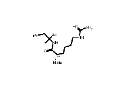 CN[C@@H](CCCCNC(=N)N)C(=O)NC(C)(CC(C)C)C(C)=O